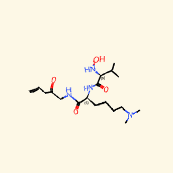 C=CCC(=O)CNC(=O)[C@H](CCCCN(C)C)NC(=O)[C@@H](NO)C(C)C